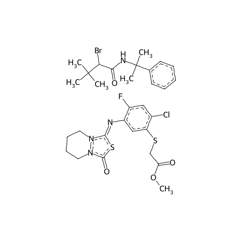 CC(C)(NC(=O)C(Br)C(C)(C)C)c1ccccc1.COC(=O)CSc1cc(/N=c2\sc(=O)n3n2CCCC3)c(F)cc1Cl